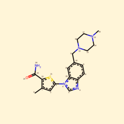 Cc1cc(-n2cnc3ccc(CN4CCN(C)CC4)cc32)sc1C(N)=O